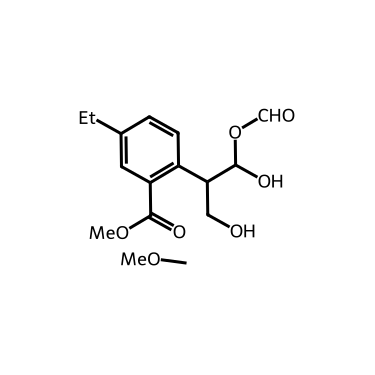 CCc1ccc(C(CO)C(O)OC=O)c(C(=O)OC)c1.COC